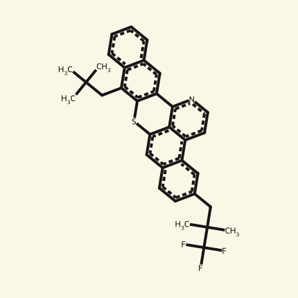 CC(C)(C)Cc1c2c(cc3ccccc13)-c1nccc3c1c(cc1ccc(CC(C)(C)C(F)(F)F)cc13)S2